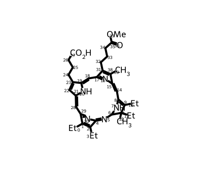 CCC1=C(CC)C2=NC3NC(=C(CC)C3(C)CC)C=C3N=C(C=c4[nH]c(cc4CCCC(=O)O)=CC1=N2)C(CCCC(=O)OC)=C3C